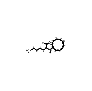 CC(=O)C(CCCCN)Nc1ccccccccc1